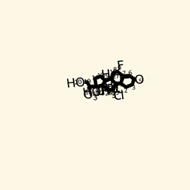 C[C@]12CCC(=O)C=C1[C@@H](F)C[C@H]1[C@@H]3CC[C@](O)(C(=O)CO)[C@@]3(C)C[C@H](Cl)[C@@]12Cl